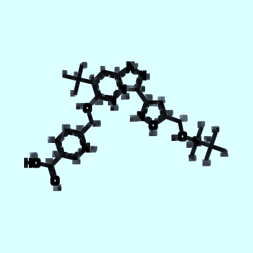 CC(C)(C)c1cc2nnc(-c3cc(CO[Si](C)(C)C(C)(C)C)on3)n2nc1OCc1ccc(C(=O)O)cn1